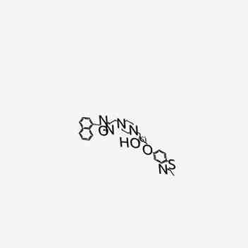 Cc1nc2cc(OC[C@@H](O)CN3CCN(Cc4noc(-c5cccc6ccccc56)n4)CC3)ccc2s1